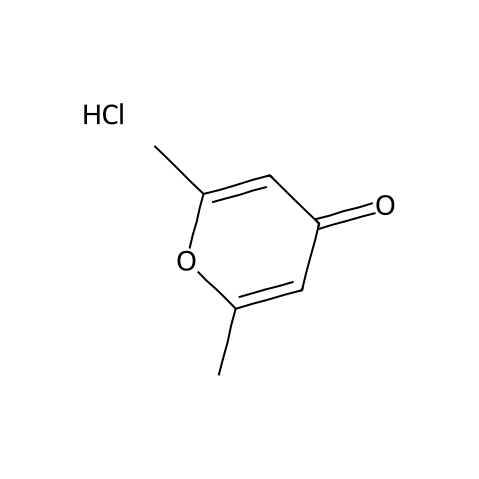 Cc1cc(=O)cc(C)o1.Cl